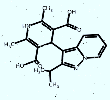 CC1=C(C(=O)O)C(c2c(C(C)C)nn3ccccc23)C(C(=O)O)=C(C)N1